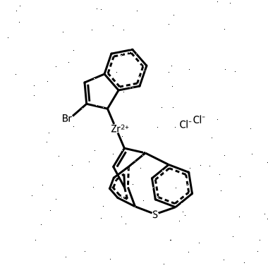 BrC1=Cc2ccccc2[CH]1[Zr+2][C]1=Cc2c3cccc2C1c1ccc(cc1)S3.[Cl-].[Cl-]